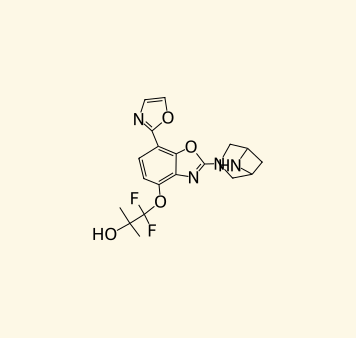 CC(C)(O)C(F)(F)Oc1ccc(-c2ncco2)c2oc(N3CC4CC(C3)N4)nc12